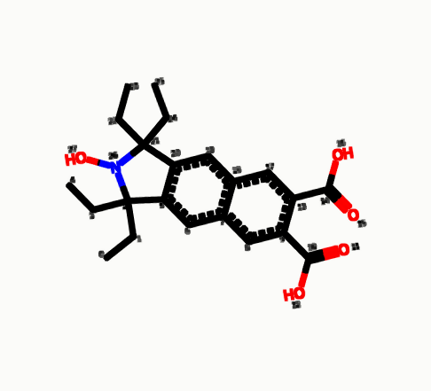 CCC1(CC)c2cc3cc(C(=O)O)c(C(=O)O)cc3cc2C(CC)(CC)N1O